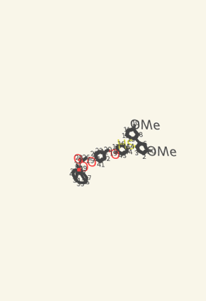 COc1ccc2c(c1)-c1cc(OC)ccc1[SH]2c1ccc(OCc2ccc(OCC(=O)OC3(C)C4CC5CC(C4)CC3C5)cc2)cc1